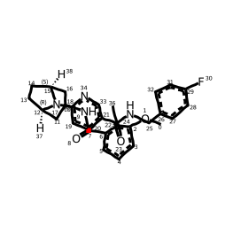 COc1cccc(C(=O)N[C@H]2C[C@H]3CC[C@@H](C2)N3c2ccc(C(=O)NCc3ccc(F)cc3)cn2)c1C